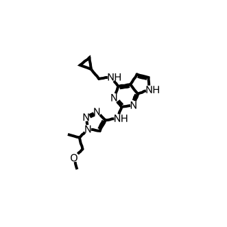 COCC(C)n1cc(Nc2nc(NCC3CC3)c3cc[nH]c3n2)nn1